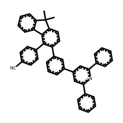 CC1(C)c2ccccc2-c2c1ccc(-c1cccc(-c3cc(-c4ccccc4)nc(-c4ccccc4)c3)c1)c2-c1ccc(C#N)cc1